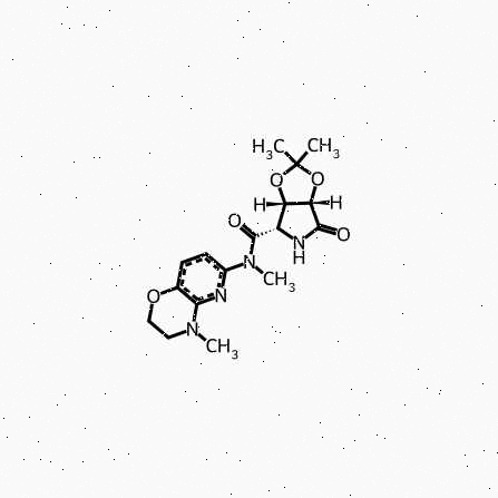 CN1CCOc2ccc(N(C)C(=O)[C@H]3NC(=O)[C@H]4OC(C)(C)O[C@@H]34)nc21